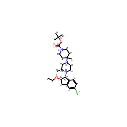 CCO[C@@H]1Cc2cc(Br)ccc2[C@H]1N1CCN(C2(C)CCN(C(=O)OC(C)(C)C)CC2)C[C@@H]1C